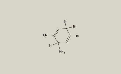 NC1=CC(Br)(Br)C(Br)=CC1(N)Br